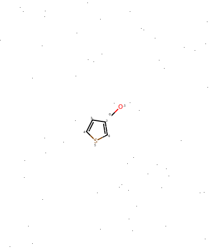 C[O].c1ccsc1